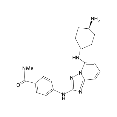 CNC(=O)c1ccc(Nc2nc3cccc(N[C@H]4CC[C@H](N)CC4)n3n2)cc1